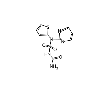 NC(=O)NS(=O)(=O)N(c1ncccn1)c1cccs1